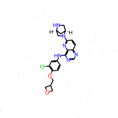 Clc1cc(Nc2ncnc3ccc(N4C[C@@H]5C[C@H]4CN5)nc23)ccc1OCC1COC1